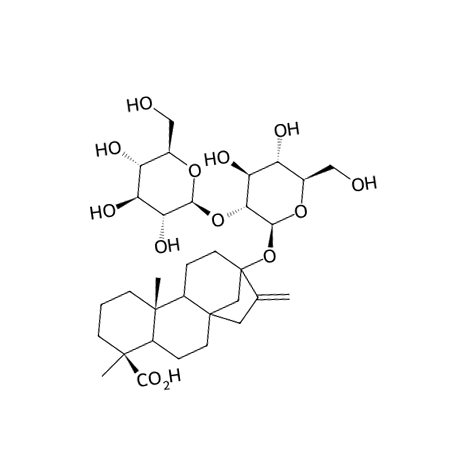 C=C1CC23CCC4[C@](C)(CCC[C@]4(C)C(=O)O)C2CCC1(O[C@@H]1O[C@H](CO)[C@@H](O)[C@H](O)[C@H]1O[C@@H]1O[C@H](CO)[C@@H](O)[C@H](O)[C@H]1O)C3